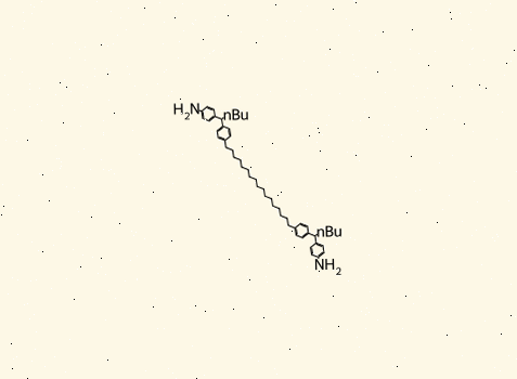 CCCCC(c1ccc(N)cc1)c1ccc(CCCCCCCCCCCCCCCCCc2ccc(C(CCCC)c3ccc(N)cc3)cc2)cc1